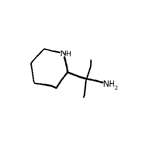 CC(C)(N)C1CCCCN1